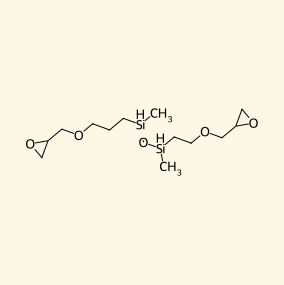 C[SiH](CCCOCC1CO1)O[SiH](C)CCOCC1CO1